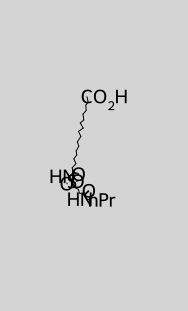 CCCNC(=O)CCCS(=O)(=O)NC(=O)CCCCCCCCCCCCCCCCC(=O)O